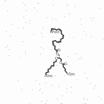 CCCCC/C=C\C/C=C\C/C=C\C/C=C\C/C=C\CCC(=O)OC[C@H](COC(=O)CCCCCCCCCCCCC)OCCCCCCCCCCCCCCCCCC